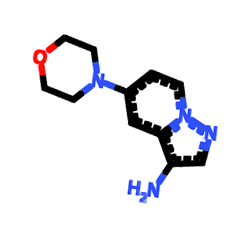 Nc1cnn2ccc(N3CCOCC3)cc12